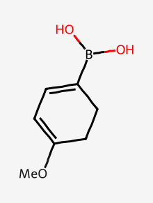 COC1=CC=C(B(O)O)CC1